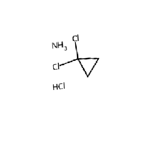 Cl.ClC1(Cl)CC1.N